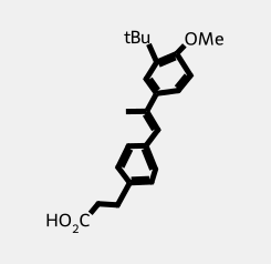 COc1ccc(C(C)=Cc2ccc(CCC(=O)O)cc2)cc1C(C)(C)C